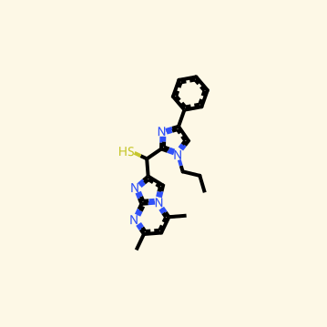 CCCn1cc(-c2ccccc2)nc1C(S)c1cn2c(C)cc(C)nc2n1